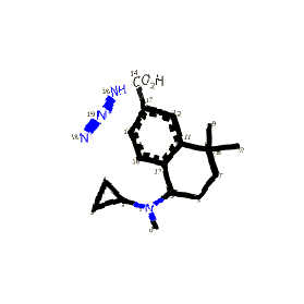 CN(C1CC1)C1CCC(C)(C)c2cc(C(=O)O)ccc21.[N-]=[N+]=N